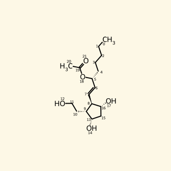 CCCCC[C@H](/C=C/[C@@H]1[C@@H](CCO)[C@@H](O)C[C@H]1O)OC(C)=O